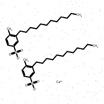 CCCCCCCCCCCCc1cc(S(=O)(=O)[O-])ccc1C.CCCCCCCCCCCCc1cc(S(=O)(=O)[O-])ccc1C.[Ca+2]